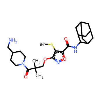 CC(C)Sc1c(OCC(C)(C)C(=O)N2CCC(CN)CC2)noc1C(=O)NC1C2CC3CC(C2)CC1C3